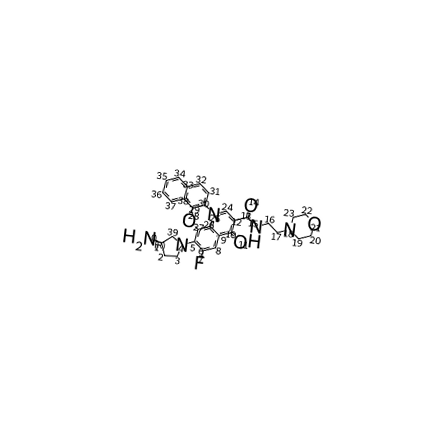 N[C@@H]1CCN(c2c(F)cc3c(=O)c(C(=O)NCCN4CCOCC4)cn4c3c2Oc2c-4ccc3ccccc23)C1